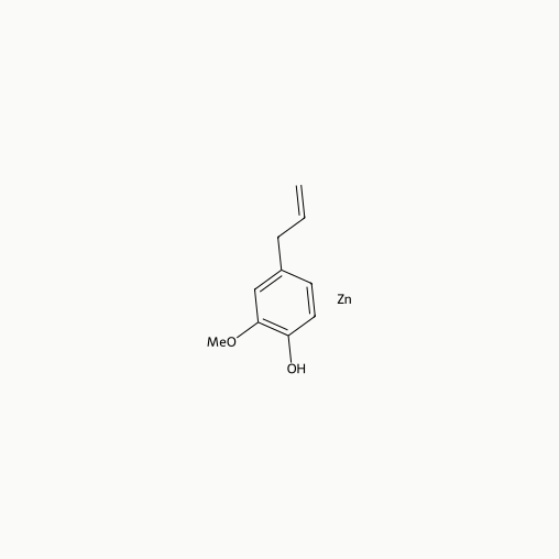 C=CCc1ccc(O)c(OC)c1.[Zn]